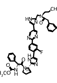 CCCN(Cc1nc(-c2cnc(-c3ccc(-c4cnc([C@@H]5CCCN5C(=O)[C@H](NC(=O)OC)c5ccccc5)[nH]4)c(F)c3)nc2)c[nH]1)C(=O)Cc1ccccc1